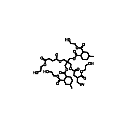 CC(C)CC(CC(=O)OCC(COC(=O)CCC(=O)OCCO)(COC(=O)C1CCC(C)CC1C(=O)OCCO)COC(=O)C1CCC(C)CC1C(=O)OCCO)C(=O)OCCO